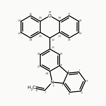 C=Cn1c2ccccc2c2cc(C3c4ccccc4Oc4ccccc43)ccc21